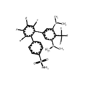 CN(C)c1cc(-c2c(F)c(F)c(F)c(F)c2-c2ccc(S(N)(=O)=O)cc2)cc(N(C)C)c1C(F)(F)F